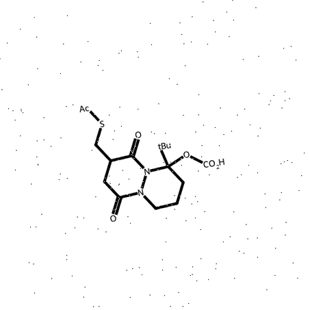 CC(=O)SCC1CC(=O)N2CCCC(OC(=O)O)(C(C)(C)C)N2C1=O